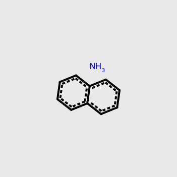 N.c1ccc2ccccc2c1